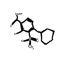 CCc1c(C(=O)OC)ccc(C2CCCCC2)c1S(C)(=O)=O